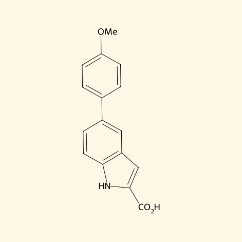 COc1ccc(-c2ccc3[nH]c(C(=O)O)cc3c2)cc1